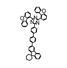 c1ccc2c(c1)-c1cc(-c3ccc(-c4ccc(-c5nc(-c6cccc7oc8ccccc8c67)nc(-c6cccc7oc8ccccc8c67)n5)cc4)cc3)ccc1C21CCCCC1